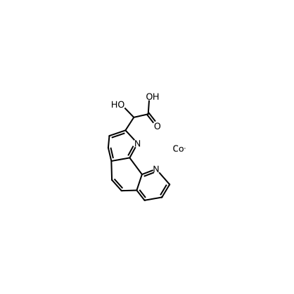 O=C(O)C(O)c1ccc2ccc3cccnc3c2n1.[Co]